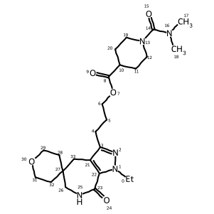 CCn1nc(CCCOC(=O)C2CCN(C(=O)N(C)C)CC2)c2c1C(=O)NCC1(CCOCC1)C2